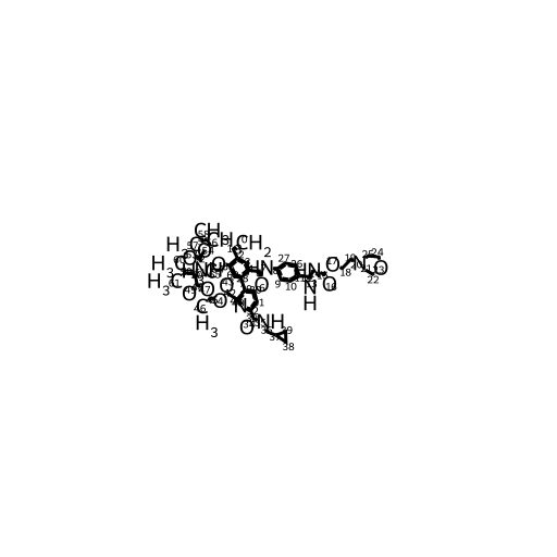 C=Cc1cc(C(=O)Nc2ccc(C(=N)NC(=O)OCCN3CCOCC3)cc2)c(-c2ccc(C(=O)NCC3CC3)nc2C(=O)OC(C)OC(=O)C(NC(=O)OC(C)(C)C)C(C)C)cc1OC